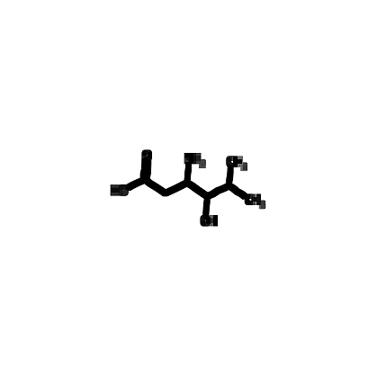 CC(C)C(O)C(N)CC(=O)O